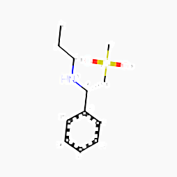 [CH2]CCN[C@H](CS(C)(=O)=O)c1ccccc1